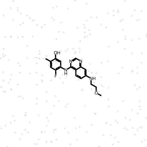 COCCNc1ccc2c(Nc3cc(O)c(C)cc3F)ncnc2c1